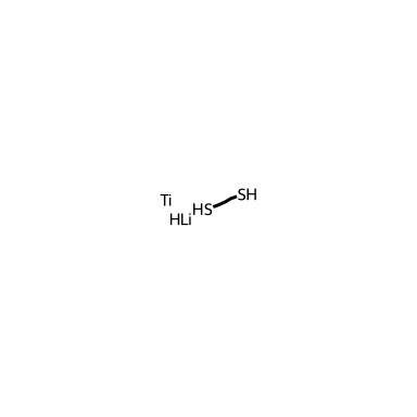 SS.[LiH].[Ti]